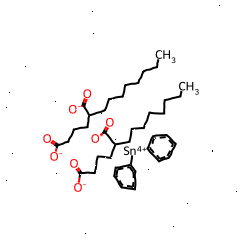 CCCCCCCCC(CCCC(=O)[O-])C(=O)[O-].CCCCCCCCC(CCCC(=O)[O-])C(=O)[O-].c1cc[c]([Sn+4][c]2ccccc2)cc1